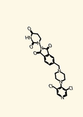 O=C1CCN(N2C(=O)c3ccc(CN4CCN(c5c(Cl)cncc5Cl)CC4)cc3C2=O)C(=O)N1